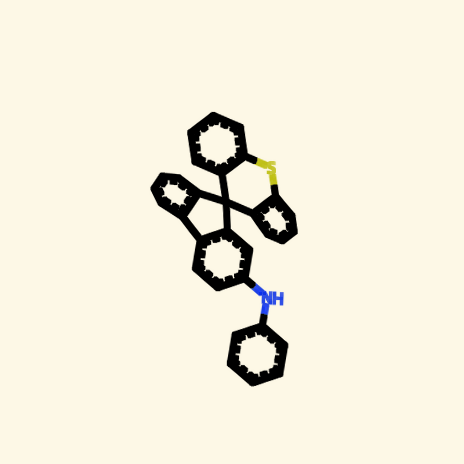 c1ccc(Nc2ccc3c(c2)C2(c4ccccc4Sc4ccccc42)c2ccccc2-3)cc1